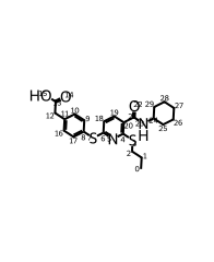 CCCSc1nc(Sc2ccc(CC(=O)O)cc2)ccc1C(=O)NC1CCCCC1